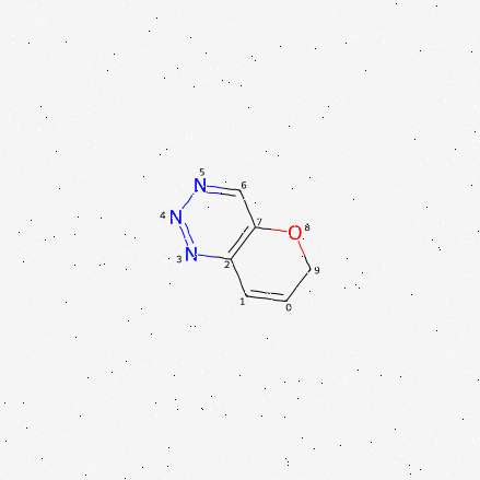 C1=Cc2nnncc2OC1